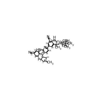 CN1CC(F)C(Oc2ccc(C#N)cc2Nc2nccc(-c3cc(C#N)c4c(c3)C(C)(CO[Si](C)(C)C(C)(C)C)CN4)n2)C1